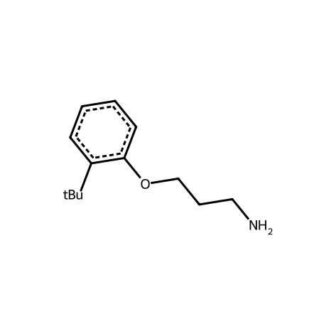 CC(C)(C)c1ccccc1OCCCN